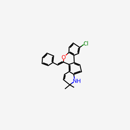 CC1(C)C=Cc2c(ccc3c2C(=Cc2ccccc2)Oc2ccc(Cl)cc2-3)N1